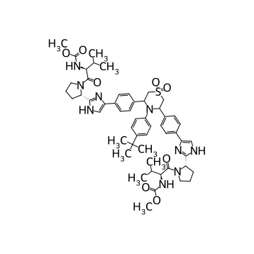 COC(=O)N[C@H](C(=O)N1CCC[C@H]1c1nc(-c2ccc(C3CS(=O)(=O)CC(c4ccc(-c5c[nH]c([C@@H]6CCCN6C(=O)[C@@H](NC(=O)OC)C(C)C)n5)cc4)N3c3ccc(C(C)(C)C)cc3)cc2)c[nH]1)C(C)C